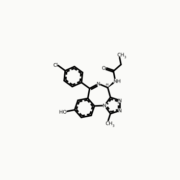 CCC(=O)N[C@@H]1N=C(c2ccc(Cl)cc2)c2cc(O)ccc2-n2c(C)nnc21